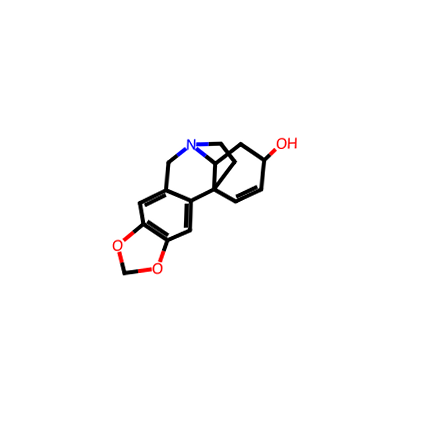 OC1C=CC23CCN(Cc4cc5c(cc42)OCO5)C3C1